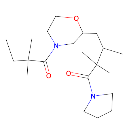 CCC(C)(C)C(=O)N1CCOC(CC(C)C(C)(C)C(=O)N2CCCC2)C1